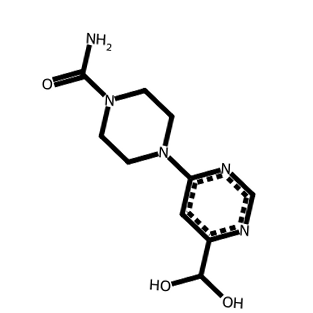 NC(=O)N1CCN(c2cc(C(O)O)ncn2)CC1